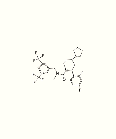 Cc1cc(F)ccc1[C@@H]1C[C@H](N2CCCC2)CCN1C(=O)N(C)Cc1cc(C(F)(F)F)cc(C(F)(F)F)c1